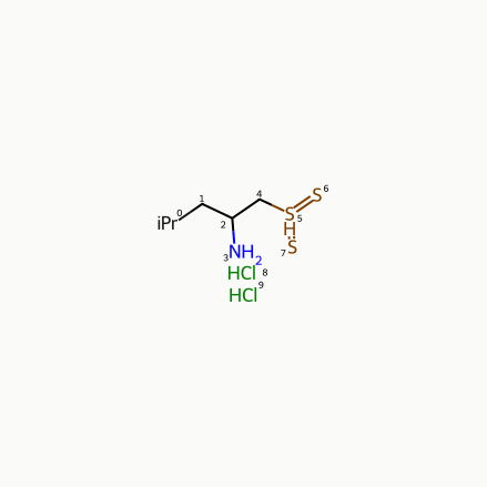 CC(C)CC(N)C[SH](=S)=S.Cl.Cl